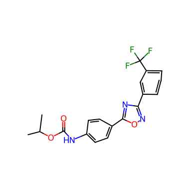 CC(C)OC(=O)Nc1ccc(-c2nc(-c3cccc(C(F)(F)F)c3)no2)cc1